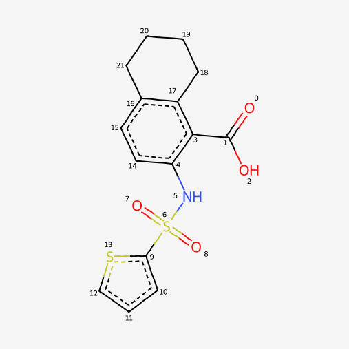 O=C(O)c1c(NS(=O)(=O)c2cccs2)ccc2c1CCCC2